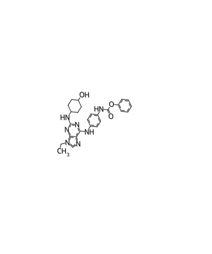 CCn1cnc2c(Nc3ccc(NC(=O)Oc4ccccc4)cc3)nc(NC3CCC(O)CC3)nc21